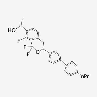 CCCc1ccc(-c2ccc(C3Cc4ccc(C(C)O)c(F)c4C(F)(F)O3)cc2)cc1